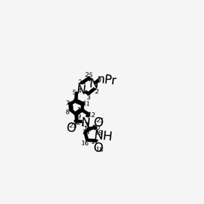 CCCN1CCN(Cc2ccc3c(c2)CN(C2CCC(=O)NC2=O)C3=O)CC1